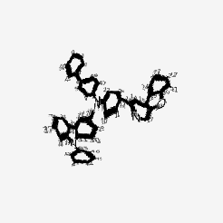 c1ccc(-c2ccc(N(c3ccc(-c4cc5c(cn4)oc4ccccc45)cc3)c3ccc4c(c3)c3ccccc3n4-c3ccccc3)cc2)cc1